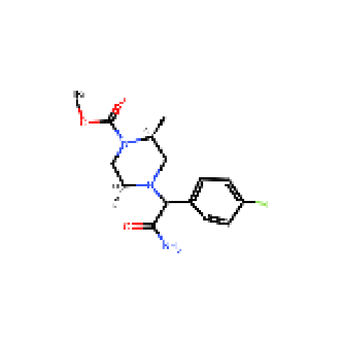 C[C@@H]1CN(C(=O)OC(C)(C)C)[C@@H](C)CN1C(C(N)=O)c1ccc(F)cc1